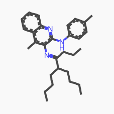 CCCCC(CCCC)/C(CCC)=N/c1c(Nc2ccc(C)cc2)nc2ccccc2c1C